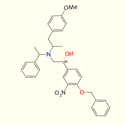 COc1ccc(CC(C)N(C[C@H](O)c2ccc(OCc3ccccc3)c([N+](=O)[O-])c2)C(C)c2ccccc2)cc1